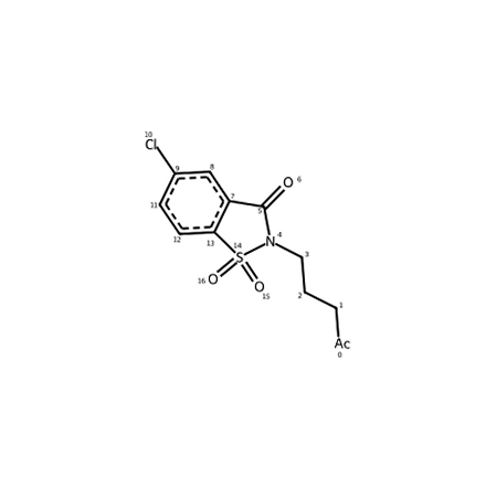 CC(=O)CCCN1C(=O)c2cc(Cl)ccc2S1(=O)=O